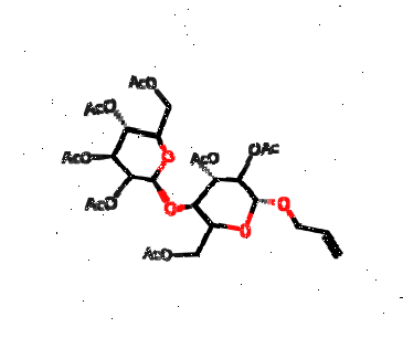 C=CCO[C@@H]1OC(COC(C)=O)[C@@H](O[C@@H]2OC(COC(C)=O)[C@@H](OC(C)=O)[C@H](OC(C)=O)C2OC(C)=O)[C@H](OC(C)=O)C1OC(C)=O